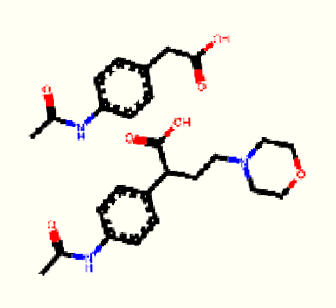 CC(=O)Nc1ccc(C(CCN2CCOCC2)C(=O)O)cc1.CC(=O)Nc1ccc(CC(=O)O)cc1